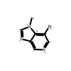 Cn1cnc2cncc(Br)c21